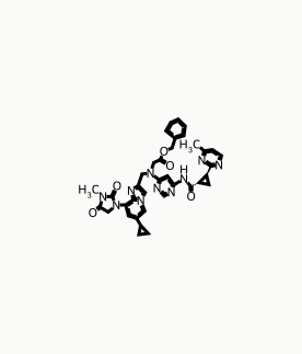 Cc1ccnc([C@H]2C[C@@H]2C(=O)Nc2cc(N(CC(=O)OCc3ccccc3)Cc3cn4cc(C5CC5)cc(N5CC(=O)N(C)C5=O)c4n3)ncn2)n1